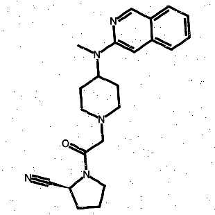 CN(c1cc2ccccc2cn1)C1CCN(CC(=O)N2CCC[C@H]2C#N)CC1